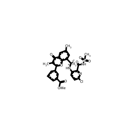 COC(=O)c1cccc(-c2oc3c([C@@H](C)Nc4ccc(Cl)nc4C(=O)NS(C)(=O)=O)cc(C)cc3c(=O)c2C)c1